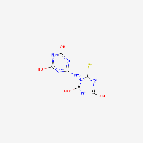 Nc1nc(O)nc(O)n1.Oc1nc(O)nc(S)n1